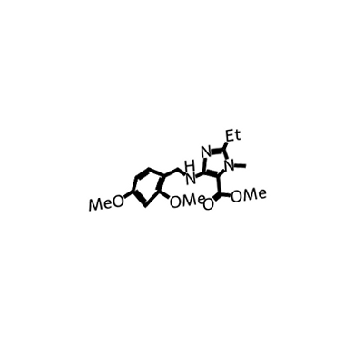 CCc1nc(NCc2ccc(OC)cc2OC)c(C(=O)OC)n1C